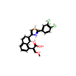 COC=C(C(=O)O)c1cccc2ccc(-c3csc(-c4ccc(Cl)c(Cl)c4)n3)cc12